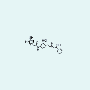 Cl.O=C(Cc1n[nH]c(S)n1)Nc1ccc(CCNCC(O)c2ccccc2)cc1